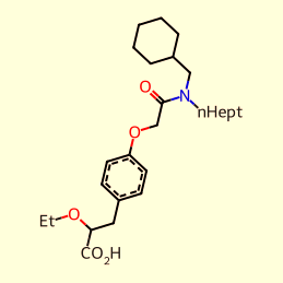 CCCCCCCN(CC1CCCCC1)C(=O)COc1ccc(CC(OCC)C(=O)O)cc1